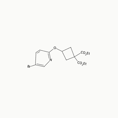 CCOC(=O)C1(C(=O)OCC)CC(Oc2ccc(Br)cn2)C1